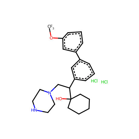 Cl.Cl.OC1(C(CN2CCNCC2)c2cccc(-c3cccc(OC(F)(F)F)c3)c2)CCCCC1